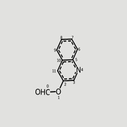 O=COc1cnc2ccccc2c1